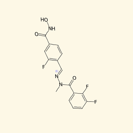 CN(/N=C/c1ccc(C(=O)NO)cc1F)C(=O)c1cccc(F)c1F